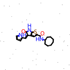 O=C1Nc2sc(C(=O)NC3CCCCCCC3)cc2/C1=C/c1ccc[nH]1